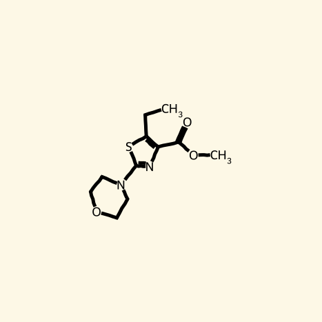 CCc1sc(N2CCOCC2)nc1C(=O)OC